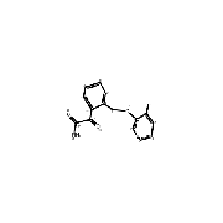 Cc1ccccc1OCc1ccccc1C(=O)C(N)=O